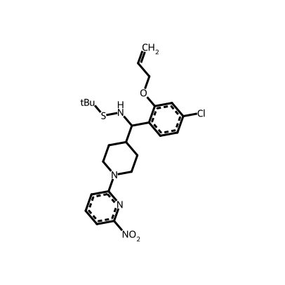 C=CCOc1cc(Cl)ccc1C(NSC(C)(C)C)C1CCN(c2cccc([N+](=O)[O-])n2)CC1